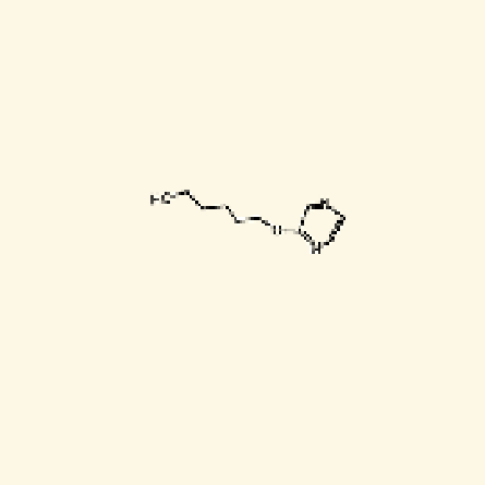 OCCCCCOc1cnccn1